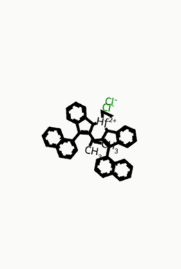 CCC1=C(c2cccc3ccccc23)c2ccccc2[CH]1[Hf+2]1([CH]2C(CC)=C(c3cccc4ccccc34)c3ccccc32)[CH2][CH2]1.[Cl-].[Cl-]